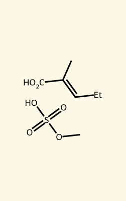 CC/C=C(\C)C(=O)O.COS(=O)(=O)O